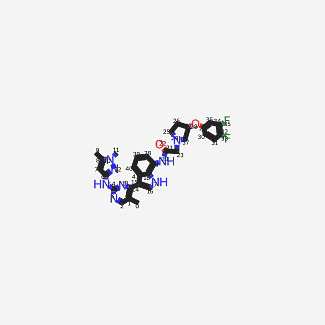 Cc1cnc(Nc2cc(C)n(C)n2)nc1-c1c[nH]c2c(NC(=O)CN3CCC(Oc4ccc(F)c(F)c4)C3)cccc12